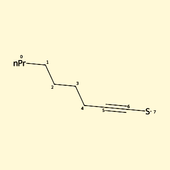 CCCCCCCC#C[S]